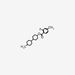 Cc1ccc(C(=O)OC2CCC(C3CCC(C)CC3)CC2)c(F)c1